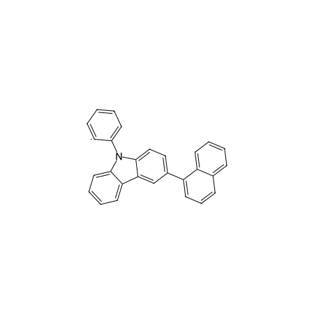 [c]1ccccc1-n1c2ccccc2c2cc(-c3cccc4ccccc34)ccc21